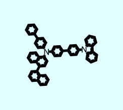 c1ccc(-c2ccc(N(c3ccc(-c4ccc(-n5c6ccccc6c6ccccc65)cc4)cc3)c3ccc(-c4cccc5ccccc45)c4ccccc34)cc2)cc1